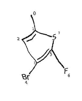 Cc1cc(Br)c(F)s1